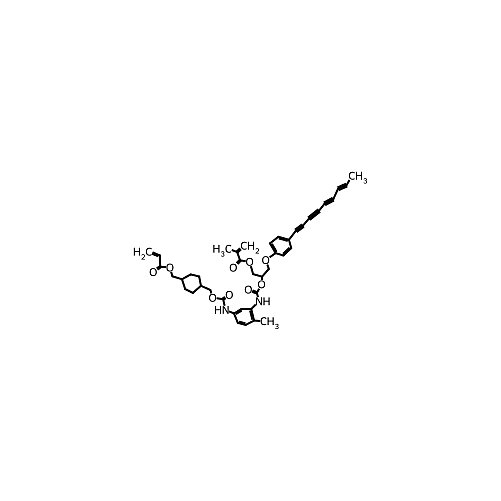 C=CC(=O)OCC1CCC(COC(=O)Nc2ccc(C)c(NC(=O)OC(COC(=O)C(=C)C)COc3ccc(C#CC#CC#CC#CC)cc3)c2)CC1